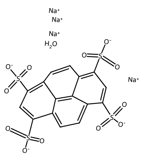 O.O=S(=O)([O-])c1cc(S(=O)(=O)[O-])c2ccc3c(S(=O)(=O)[O-])cc(S(=O)(=O)[O-])c4ccc1c2c43.[Na+].[Na+].[Na+].[Na+]